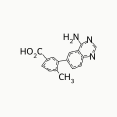 Cc1ccc(C(=O)O)cc1-c1ccc2ncnc(N)c2c1